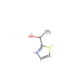 [CH2]C(O)c1nccs1